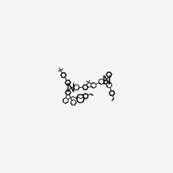 C=Cc1ccc(OCCCC2(C3C=CC=CC3)c3cc(N(c4ccc(-c5ccc(C(C)(C)C)cc5)cc4)C4CC=C(c5ccc6c(c5)C(C)(C)C5=CC(C7=Cc8c(n(-c9ccccc9)c9c8=CC(c8ccc(C=C)cc8)CC=9)CC7)CC=C56)CC4)ccc3C3C=CC=CC32)cc1